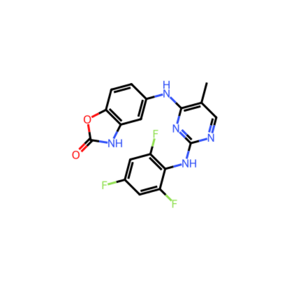 Cc1cnc(Nc2c(F)cc(F)cc2F)nc1Nc1ccc2oc(=O)[nH]c2c1